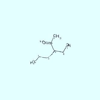 CCCC(CO)C(C)=O